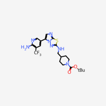 CC(C)(C)OC(=O)N1CCC(CNc2nn3c(-c4cnc(N)c(C(F)(F)F)c4)cnc3s2)CC1